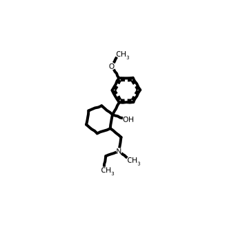 CCN(C)CC1CCCCC1(O)c1cccc(OC)c1